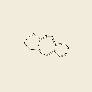 C1=CC2=NC=c3ccccc3=CC=C2CC1